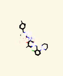 Cc1ccc([C@H](CC(=O)O)NC(=O)Nc2c(O)c(C)cn(Cc3c(Cl)cccc3N3CCCCC3)c2=O)cc1